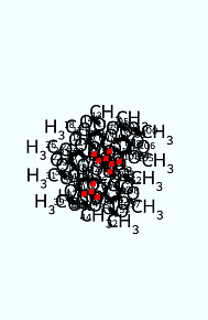 CC(=O)OC[C@H]1O[C@H](O[C@H]2[C@H](OC(C)=O)[C@@H](OC(C)=O)[C@@H](O[C@H]3[C@H](OC(C)=O)[C@@H](OC(C)=O)[C@@H](O[C@H]4[C@H](OC(C)=O)[C@@H](OC(C)=O)[C@@H](O[C@H]5[C@H](OC(C)=O)[C@@H](OC(C)=O)[C@@H](OC(C)=O)O[C@@H]5COC(C)=O)O[C@@H]4COC(C)=O)O[C@@H]3COC(C)=O)O[C@@H]2COC(C)=O)[C@H](OC(C)=O)[C@@H](OC(C)=O)[C@@H]1OC(C)=O